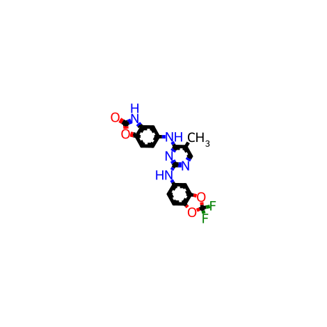 Cc1cnc(Nc2ccc3c(c2)OC(F)(F)O3)nc1Nc1ccc2oc(=O)[nH]c2c1